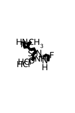 Cc1[nH]ncc1-c1cc2nc([C@@H]3C[C@H](F)CN3)[nH]c(=O)c2s1.Cl.Cl